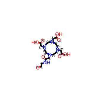 O=CCNC(=O)CN1CCN(CC(=O)O)CCN(CC(=O)O)CCN(CC(=O)O)CC1